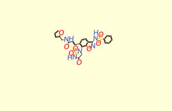 O=C(C=Cc1ccc2c(NS(=O)(=O)c3ccccc3)noc2c1N1CC(=O)NS1(=O)=O)NCc1ccco1